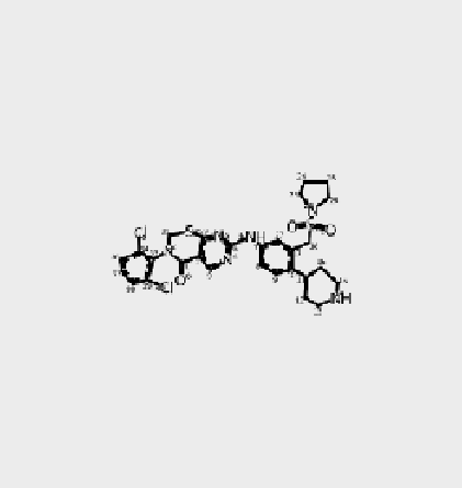 O=C1c2cnc(Nc3ccc(C4CCNCC4)c(CS(=O)(=O)N4CCCC4)c3)nc2SCN1c1c(Cl)cccc1Cl